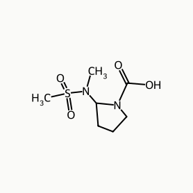 CN(C1CCCN1C(=O)O)S(C)(=O)=O